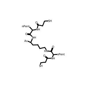 CCCCCC(NC(=O)CCS)C(=O)NCCCCC(NC(=O)C(CCCCC)NC(=O)CCS)C(C)=O